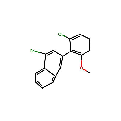 COC1=C(c2cc(Br)c3ccccc3c2)C(Cl)=CCC1